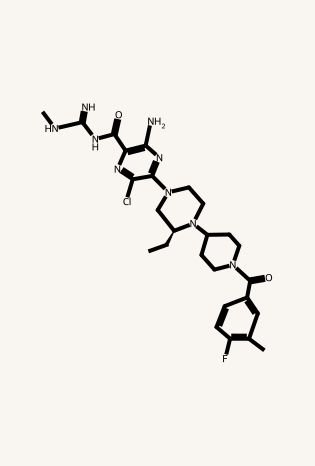 CC[C@H]1CN(c2nc(N)c(C(=O)NC(=N)NC)nc2Cl)CCN1C1CCN(C(=O)c2ccc(F)c(C)c2)CC1